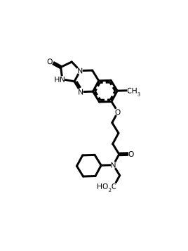 Cc1cc2c(cc1OCCCC(=O)N(CC(=O)O)C1CCCCC1)N=C1NC(=O)CN1C2